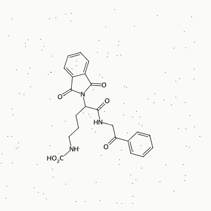 O=C(O)NCCCC(C(=O)NCC(=O)c1ccccc1)N1C(=O)c2ccccc2C1=O